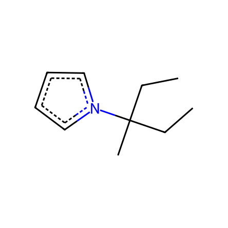 CCC(C)(CC)n1cccc1